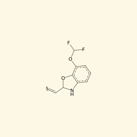 FC(F)Oc1cccc2c1OC(C=S)N2